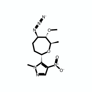 CO[C@H]1[C@H](N=[N+]=[N-])CC[C@@H](c2c([N+](=O)[O-])cnn2C)O[C@@H]1C